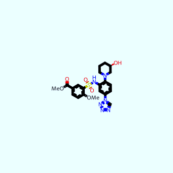 COC(=O)c1ccc(OC)c(S(=O)(=O)Nc2cc(-n3cnnn3)ccc2N2CCC[C@@H](O)C2)c1